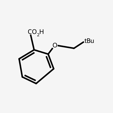 CC(C)(C)COc1ccccc1C(=O)O